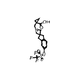 O=C(O)C1(CN2CC3(Cc4ccc(OS(=O)(=O)C(F)(F)F)cc4C3)C2)CC1